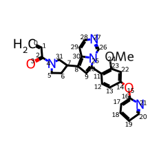 C=CC(=O)N1CCC(c2cc(-c3ccc(Oc4ccccn4)cc3OC)n3cnccc23)C1